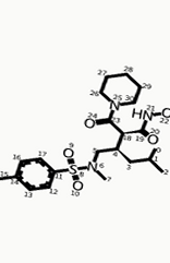 CC(C)C[C@@H](CN(C)S(=O)(=O)c1ccc(Cl)cc1)[C@H](C(=O)NO)C(=O)N1CCCCC1